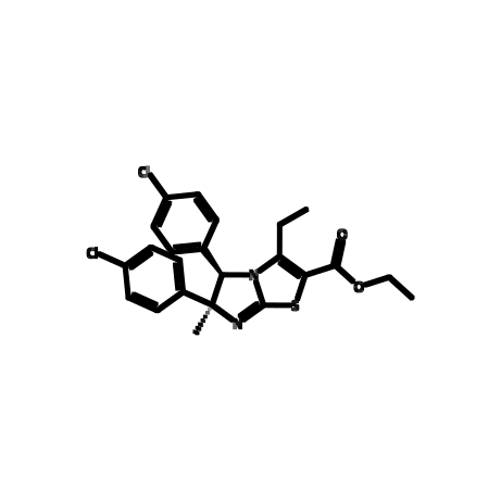 CCOC(=O)C1=C(CC)N2C(=N[C@@](C)(c3ccc(Cl)cc3)[C@H]2c2ccc(Cl)cc2)S1